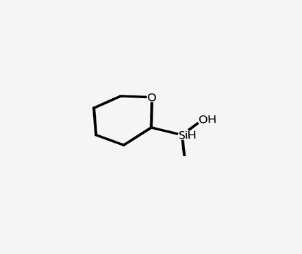 C[SiH](O)C1CCCCO1